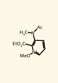 CCOC(=O)c1c(N(C)C(C)=O)ccc[n+]1OC